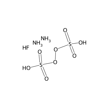 F.N.N.O=S(=O)(O)OOS(=O)(=O)O